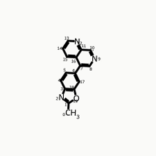 Cc1nc2ccc(-c3cn[c]c4ncccc34)cc2o1